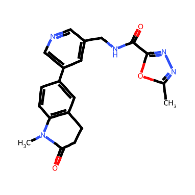 Cc1nnc(C(=O)NCc2cncc(-c3ccc4c(c3)CCC(=O)N4C)c2)o1